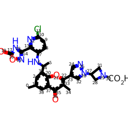 Cc1cc(C(C)Nc2ccc(Cl)nc2-c2noc(=O)[nH]2)c2oc(-c3cnn(C4CN(C(=O)O)C4)c3)c(C)c(=O)c2c1